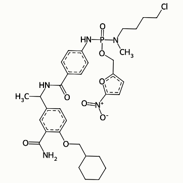 CC(NC(=O)c1ccc(NP(=O)(OCc2ccc([N+](=O)[O-])o2)N(C)CCCCCl)cc1)c1ccc(OCC2CCCCC2)c(C(N)=O)c1